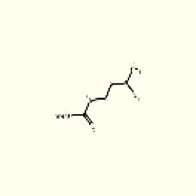 CCCCCC(=O)SCCC(C)S